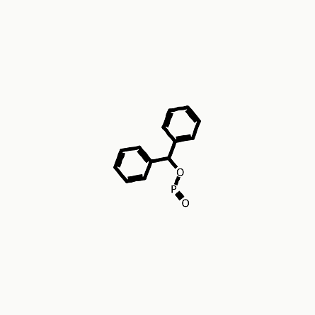 O=POC(c1ccccc1)c1ccccc1